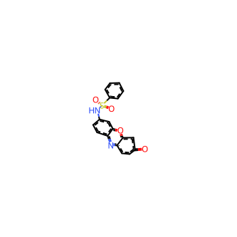 O=c1ccc2nc3ccc(NS(=O)(=O)c4ccccc4)cc3oc-2c1